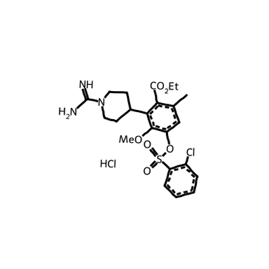 CCOC(=O)c1c(C)cc(OS(=O)(=O)c2ccccc2Cl)c(OC)c1C1CCN(C(=N)N)CC1.Cl